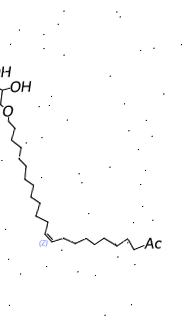 CC(=O)CCCCCCCC/C=C\CCCCCCCCCCCCOCC(O)CO